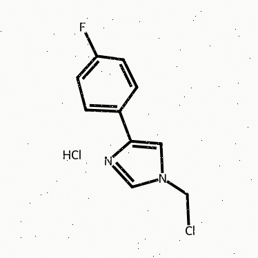 Cl.Fc1ccc(-c2cn(CCl)cn2)cc1